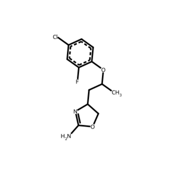 CC(CC1COC(N)=N1)Oc1ccc(Cl)cc1F